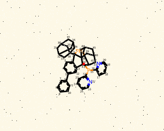 PC(c1ccc(-c2ccccc2)cc1CP(c1ccccn1)c1ccccn1)(C12CC3CC(CC(C3)C1)C2)C12CC3CC(CC(C3)C1)C2